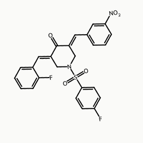 O=C1C(=Cc2cccc([N+](=O)[O-])c2)CN(S(=O)(=O)c2ccc(F)cc2)CC1=Cc1ccccc1F